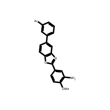 COc1ccc(-c2nc3cc(-c4cccc(C(C)=O)c4)ccc3o2)cc1N